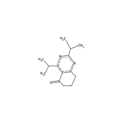 CC(C)c1nc2c(c(C(C)C)n1)C(=O)CCC2